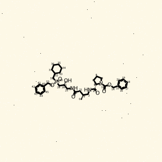 C[C@H](CNC(=O)[C@@H]1CCCN1C(=O)OCc1ccccc1)CC(=O)NC[C@@H](O)CP(=O)(CC1CCCCC1)OCc1ccccc1